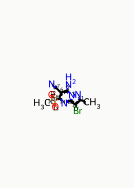 Cc1nn2c(N)c(C#N)c(S(C)(=O)=O)nc2c1Br